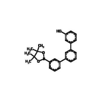 CC1(C)OB(c2cccc(-c3cccc(-c4cccc(O)c4)c3)c2)OC1(C)C